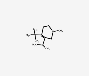 CC(C)C1=C(C(C)(C)C)CCN(C)C1